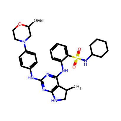 COC1CN(c2ccc(Nc3nc4c(c(Nc5ccccc5S(=O)(=O)NC5CCCCC5)n3)C(C)CN4)cc2)CCO1